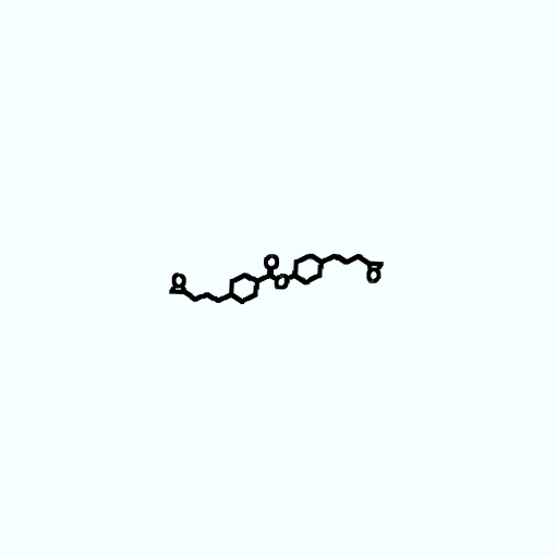 O=C(OC1CCC(CCCC2CO2)CC1)C1CCC(CCCC2CO2)CC1